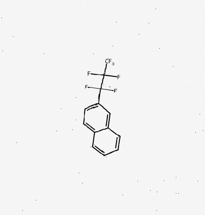 FC(F)(F)C(F)(F)C(F)(F)c1ccc2[c]cccc2c1